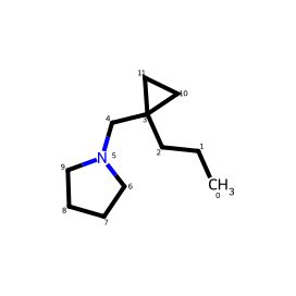 CCCC1(CN2CCCC2)CC1